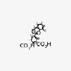 Cc1c[c]cc(C)c1OC(=O)c1ccc(C(=O)O)c(C(=O)O)c1